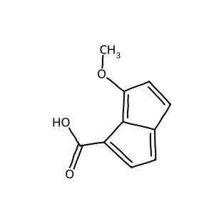 COC1=C2C(=CC=C2C(=O)O)C=C1